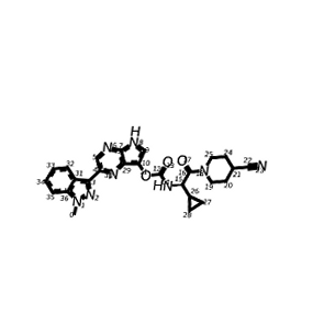 Cn1nc(-c2cnc3[nH]cc(OC(=O)N[C@@H](C(=O)N4CCC(C#N)CC4)C4CC4)c3n2)c2ccccc21